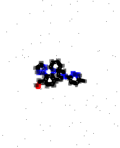 CCC1(CNc2ccc(C)nn2)CCCCN1c1c(C)ccc(C=O)c1-n1nccn1